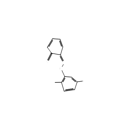 CCc1ccc(O)c(N/N=C2/C=CC=CC2=N)c1